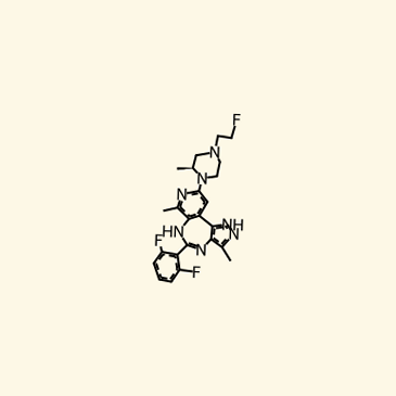 Cc1n[nH]c2c1N=C(c1c(F)cccc1F)Nc1c-2cc(N2CCN(CCF)C[C@@H]2C)nc1C